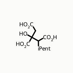 CCCC(C)C(C(=O)O)C(O)(CC(=O)O)C(=O)O